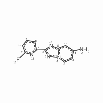 Nc1ccn2nc(-c3cccc(F)n3)nc2c1